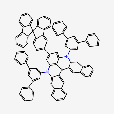 c1ccc(-c2cc(-c3ccccc3)cc(N3c4cc5ccccc5cc4B4c5cc6ccccc6cc5N(c5cc(-c6ccccc6)cc(-c6ccccc6)c5)c5cc(-c6ccc7c(c6)-c6ccccc6C76c7ccccc7-c7ccccc76)cc3c54)c2)cc1